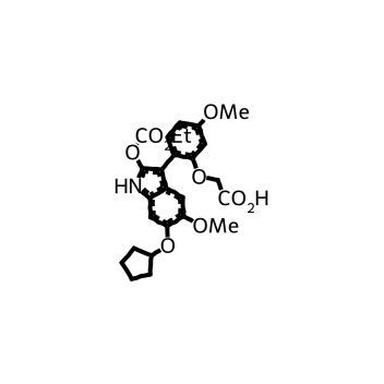 CCOC(=O)Oc1[nH]c2cc(OC3CCCC3)c(OC)cc2c1-c1ccc(OC)cc1OCC(=O)O